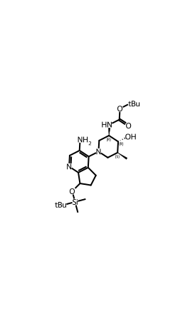 C[C@H]1CN(c2c(N)cnc3c2CCC3O[Si](C)(C)C(C)(C)C)C[C@@H](NC(=O)OC(C)(C)C)[C@@H]1O